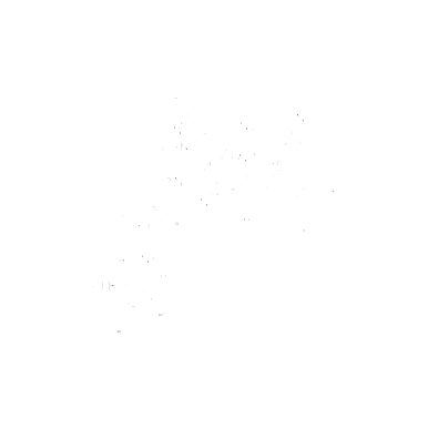 N#Cc1c(N)sc2c(F)c(F)cc(-c3ncc4c(N5CC6CCC(C5)N6)nc(OCC5(CN6C[C@@H]7C(F)[C@@H]7C6)CC5)nc4c3F)c12